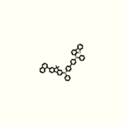 CC1(C)c2cc(-c3cccc4ccccc34)ccc2-c2ccc(N(c3ccccc3)c3ccc(-c4ccc(N(c5ccccc5)c5cccc6c5oc5ccccc56)cc4)cc3)cc21